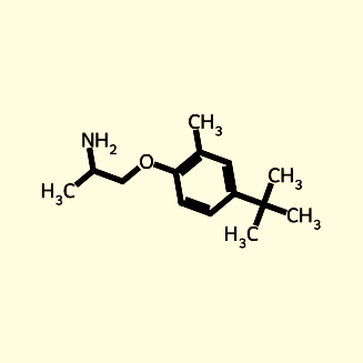 Cc1cc(C(C)(C)C)ccc1OCC(C)N